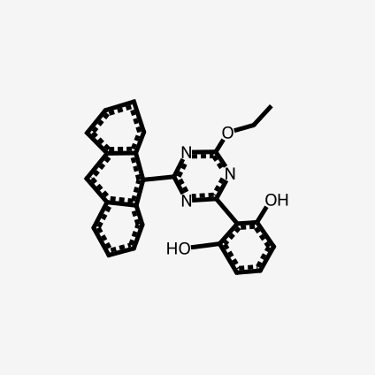 CCOc1nc(-c2c(O)cccc2O)nc(-c2c3ccccc3cc3ccccc23)n1